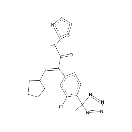 CC1(c2ccc(/C(=C\C3CCCC3)C(=O)Nc3nccs3)cc2Cl)N=NN=N1